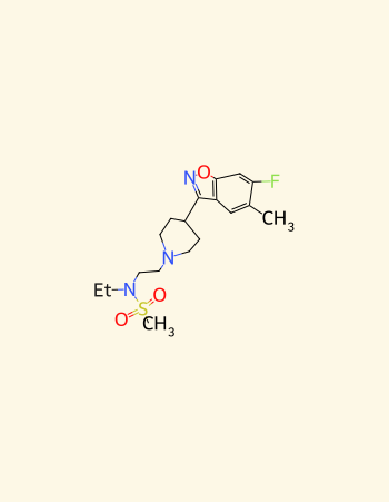 CCN(CCN1CCC(c2noc3cc(F)c(C)cc23)CC1)S(C)(=O)=O